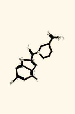 NC(=O)C1CCCN(C(=O)c2cc3c(F)cc(Br)cc3[nH]2)C1